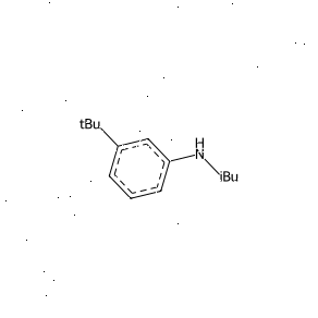 CCC(C)Nc1cccc(C(C)(C)C)c1